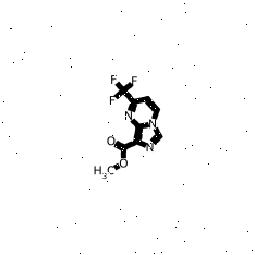 COC(=O)c1ncn2ccc(C(F)(F)F)nc12